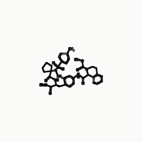 COC(=O)[C@H](Cc1ccc(NC(=O)C2c3ccccc3CCN2C(=O)OC(C)(C)C)cc1)NC(=O)C1(N(C)S(=O)(=O)c2ccc(C)cc2)CCCC1